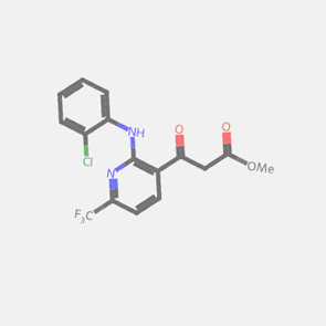 COC(=O)CC(=O)c1ccc(C(F)(F)F)nc1Nc1ccccc1Cl